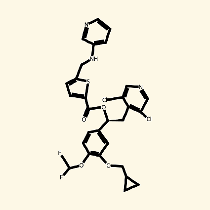 O=C(O[C@@H](Cc1c(Cl)cncc1Cl)c1ccc(OC(F)F)c(OCC2CC2)c1)c1ccc(CNc2cccnc2)s1